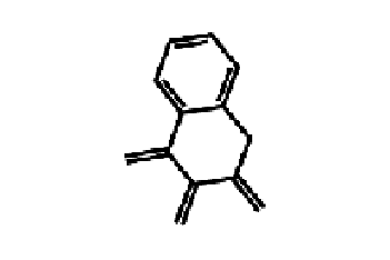 C=C1Cc2ccccc2C(=C)C1=C